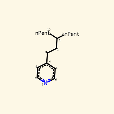 CCCCCC(C[CH]c1ccncc1)CCCCC